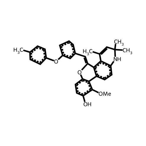 COc1c(O)ccc2c1-c1ccc3c(c1/C(=C/c1cccc(Oc4ccc(C)cc4)c1)O2)C(C)=CC(C)(C)N3